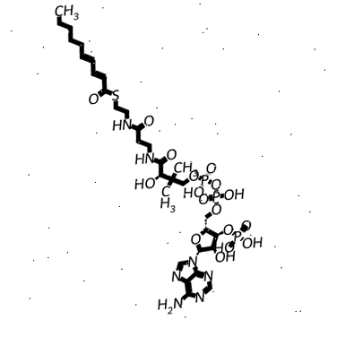 CCCCCC=CC=CC(=O)SCCNC(=O)CCNC(=O)[C@H](O)C(C)(C)COP(=O)(O)OP(=O)(O)OC[C@H]1O[C@@H](n2cnc3c(N)ncnc32)[C@H](O)[C@@H]1OP(=O)(O)O